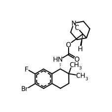 CC1(C)CCc2cc(Br)c(F)cc2[C@@H]1NC(=O)O[C@@H]1CN2CCC1CC2